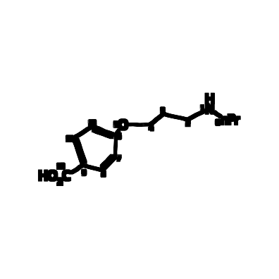 CCCNCCCOc1ccc(C(=O)O)cc1